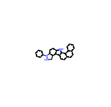 c1ccc(N2NCc3c2ccc2[nH]c4c(ccc5ccc6ccccc6c54)c32)cc1